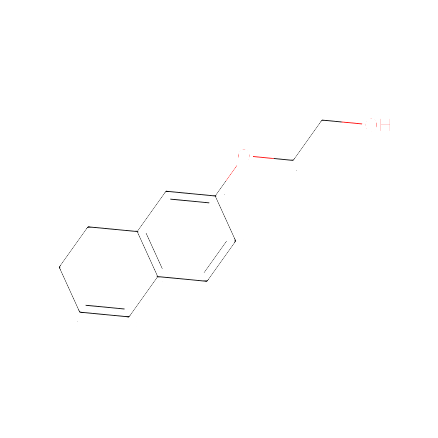 OCCOc1ccc2c(c1)CC[C]=C2